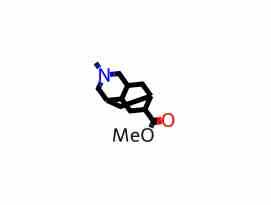 COC(=O)C1CC2C3CC1CC2CN(C)C3